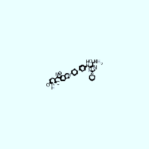 NC(=O)c1ncc(N2CCCCC2)nc1Nc1ccc([C@H]2CC[C@H](N3Cc4ccc5c(C6CCC(=O)NC6=O)noc5c4C3)CC2)cc1